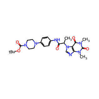 CC(C(=O)Nc1ccc(N2CCN(C(=O)OC(C)(C)C)CC2)cc1)n1cnc2c1c(=O)n(C)c(=O)n2C